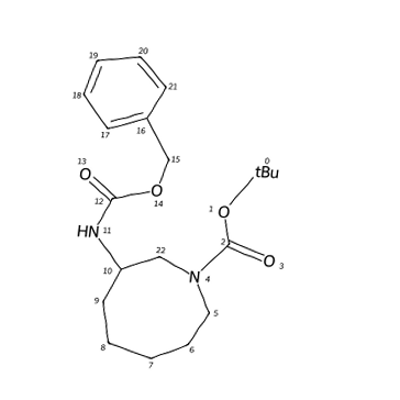 CC(C)(C)OC(=O)N1CCCCCC(NC(=O)OCc2ccccc2)C1